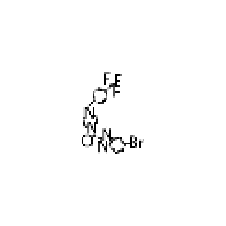 Cn1c(C(=O)N2CCN(Cc3ccc(C(F)(F)F)cc3)CC2)nc2ccc(Br)cc21